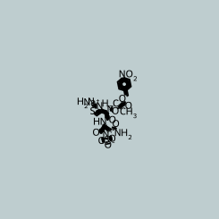 CC(C)(ON=C(C(=O)N[C@@H]1C(=O)N(S(=O)(=O)[O-])[C@H]1C(N)=O)c1csc(N)n1)C(=O)OCc1ccc([N+](=O)[O-])cc1.[Na+]